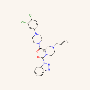 C=CCN1CCN(C(=O)n2nnc3ccccc32)[C@@H](C(=O)N2CCN(c3ccc(Cl)c(Cl)c3)CC2)C1